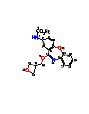 CCOC(=O)Nc1ccc2c(c1)C(OCC1COC1)=Nc1ccccc1O2